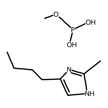 CCCCc1c[nH]c(C)n1.COP(O)O